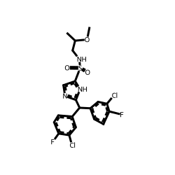 COC(C)CNS(=O)(=O)c1cnc(C(c2ccc(F)c(Cl)c2)c2ccc(F)c(Cl)c2)[nH]1